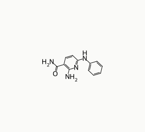 NC(=O)c1ccc(Nc2ccccc2)nc1N